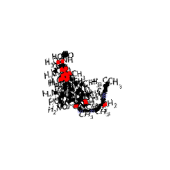 C=C(C/C=C(\C)CCC=C(C)C)CCC(C)(C)/C=C/CC/C(C)=C\CO[C@H](COP(=O)(OC)O[C@H]1OC(C(N)=O)[C@@](C)(O)[C@H](OC(N)=O)C1O[C@@H]1OC(CO[C@@H]2OC(COC(C)=O)[C@@H](OC(C)=O)C(OC(C)=O)[C@@H]2OC(C)=O)[C@@H](O[C@@H]2OC(C)[C@@H](O[C@@H]3OC(C(=O)NC4=C(O)CCC4=O)[C@H](OC(C)=O)C(OC(C)=O)[C@@H]3OC(C)=O)C(OC(C)=O)[C@@H]2NC(C)=O)C(OC(C)=O)[C@@H]1NC(C)=O)C(=O)OC